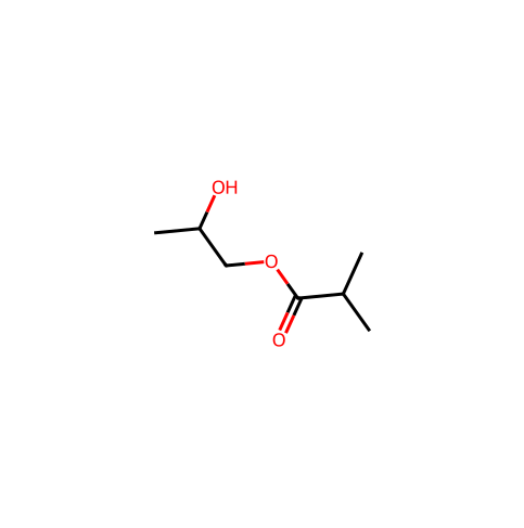 CC(O)COC(=O)C(C)C